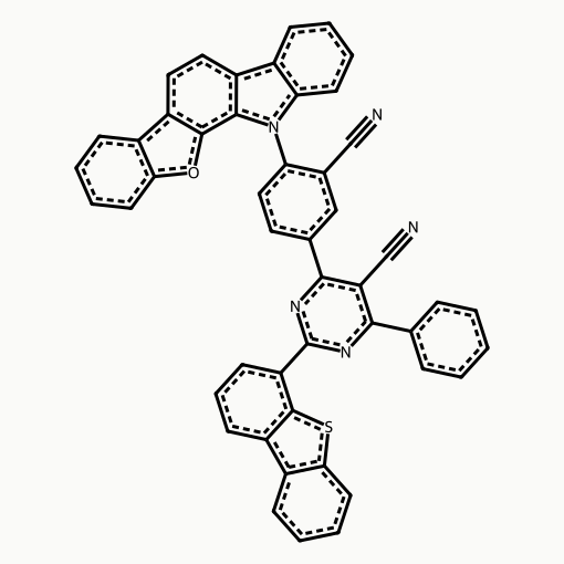 N#Cc1cc(-c2nc(-c3cccc4c3sc3ccccc34)nc(-c3ccccc3)c2C#N)ccc1-n1c2ccccc2c2ccc3c4ccccc4oc3c21